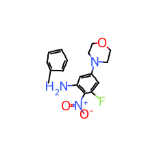 Cc1ccccc1.Nc1cc(N2CCOCC2)cc(F)c1[N+](=O)[O-]